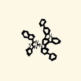 c1ccc(-c2ccc3c(c2)c2c4c5ccccc5n5c6ccc(-c7ccccc7)cc6c(cc2n3-c2nc(-c3ccc6ccccc6c3)c3sc6ccccc6c3n2)c45)cc1